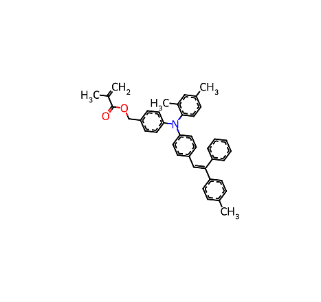 C=C(C)C(=O)OCc1ccc(N(c2ccc(/C=C(\c3ccccc3)c3ccc(C)cc3)cc2)c2ccc(C)cc2C)cc1